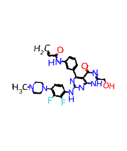 C=CC(=O)Nc1cccc(-c2nc(Nc3ccc(N4CCN(C)CC4)c(F)c3F)nc3[nH]c(CO)nc(=O)c23)c1